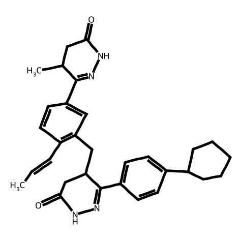 C/C=C/c1ccc(C2=NNC(=O)CC2C)cc1CC1CC(=O)NN=C1c1ccc(C2CCCCC2)cc1